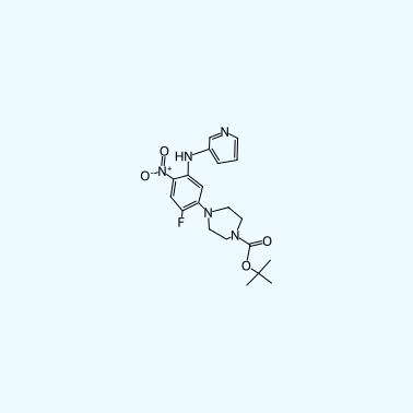 CC(C)(C)OC(=O)N1CCN(c2cc(Nc3cccnc3)c([N+](=O)[O-])cc2F)CC1